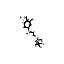 Cc1cc(N(C)CCO[Si](C)(C)C(C)(C)C)ccc1N